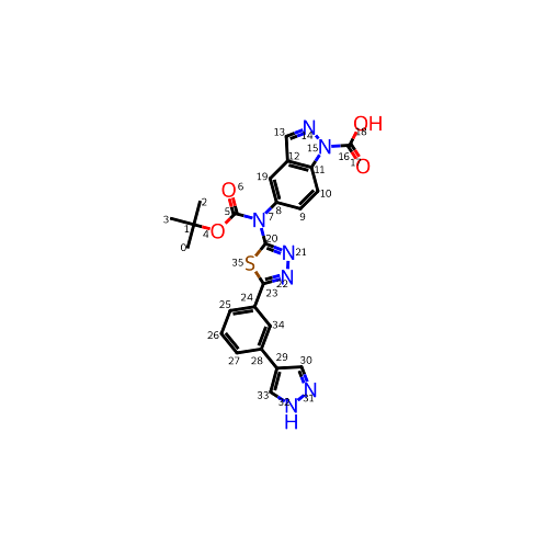 CC(C)(C)OC(=O)N(c1ccc2c(cnn2C(=O)O)c1)c1nnc(-c2cccc(-c3cn[nH]c3)c2)s1